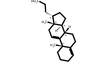 C[C@]12CCCC=C1CC[C@@H]1C2=CC[C@]2(C)[C@H](CCC(=O)O)CC[C@@H]12